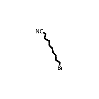 N#CCCCCCCCCCBr